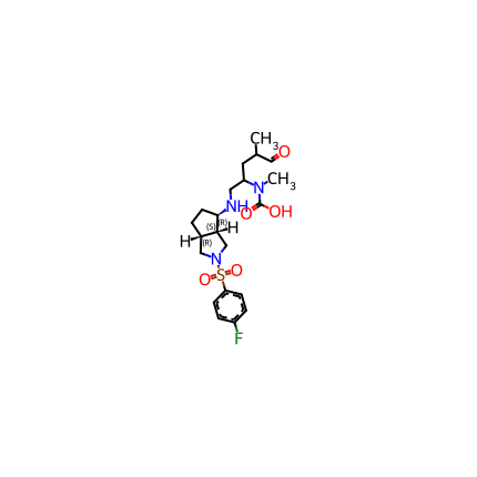 CC(C=O)CC(CN[C@@H]1CC[C@H]2CN(S(=O)(=O)c3ccc(F)cc3)C[C@H]21)N(C)C(=O)O